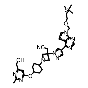 Cc1nc(CO)cc(OC2CCC(N3CC(CC#N)(n4cc(-c5ncnc6c5ccn6COCC[Si](C)(C)C)cn4)C3)CC2)n1